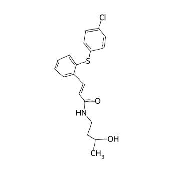 CC(O)CCNC(=O)C=Cc1ccccc1Sc1ccc(Cl)cc1